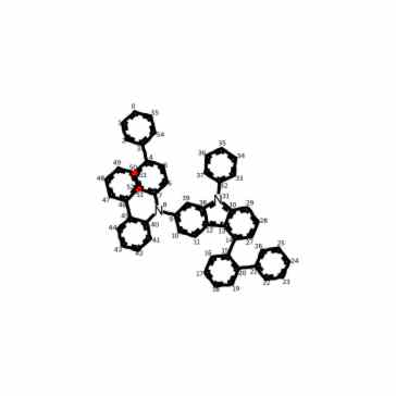 c1ccc(-c2ccc(N(c3ccc4c5c(-c6ccccc6-c6ccccc6)cccc5n(-c5ccccc5)c4c3)c3ccccc3-c3ccccc3)cc2)cc1